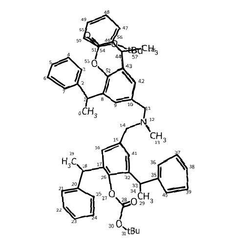 CC(c1ccccc1)c1cc(CN(C)Cc2cc(C(C)c3ccccc3)c(OC(=O)OC(C)(C)C)c(C(C)c3ccccc3)c2)cc(C(C)c2ccccc2)c1OC(=O)OC(C)(C)C